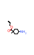 C=CCOC(=O)C1(C)CCC(N)CC1